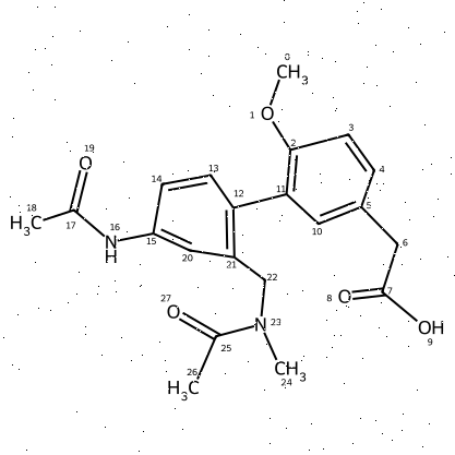 COc1ccc(CC(=O)O)cc1-c1ccc(NC(C)=O)cc1CN(C)C(C)=O